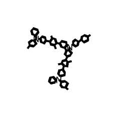 Cc1ccc(-c2ccc(-n3c4ccc(-c5cc(C)c(-c6ccc(N(c7ccccc7)c7ccc(C)cc7)cc6)cc5C)cc4c4cc(-c5cc(C)c(-c6ccc(N(c7ccccc7)c7ccc(C)cc7)cc6)cc5C)ccc43)cc2)cc1